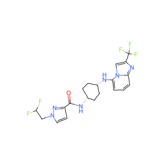 O=C(N[C@H]1CC[C@@H](Nc2cccc3nc(C(F)(F)F)cn23)CC1)c1ccn(CC(F)F)n1